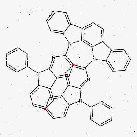 c1ccc(-n2c3ccccc3c3ccc(-n4c5ccccc5c5ccc6c7ccccc7n(-c7ccc8c9ccccc9n(-c9ccccc9)c8n7)c6c54)nc32)cc1